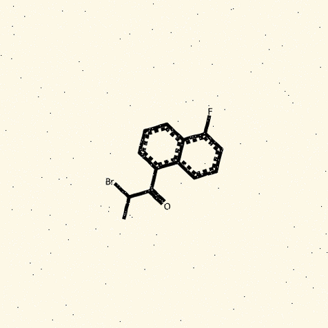 CC(Br)C(=O)c1cccc2c(F)cccc12